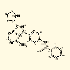 Nc1nccn2c([C@@H]3CCCN3)nc(-c3ccc(NC(=O)c4ccccn4)cc3)c12